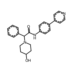 O=C(Nc1ccc(-c2ccncc2)cc1)C(c1ccccc1)N1CCC(O)CC1